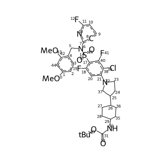 COc1ccc(CN(c2cccc(F)n2)S(=O)(=O)c2c(F)cc(N3CCC(C4CCC(NC(=O)OC(C)(C)C)CC4)C3)c(Cl)c2F)c(OC)c1